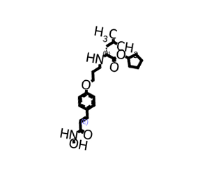 CC(C)C[C@@H](NCCCOc1ccc(/C=C/C(=O)NO)cc1)C(=O)OC1CCCC1